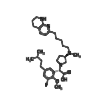 COc1c(F)cc(CCC(C)C)cc1[C@@H](C(=O)O)N1CC[C@@H](N(C)CCCCCc2ccc3c(n2)NCCC3)C1